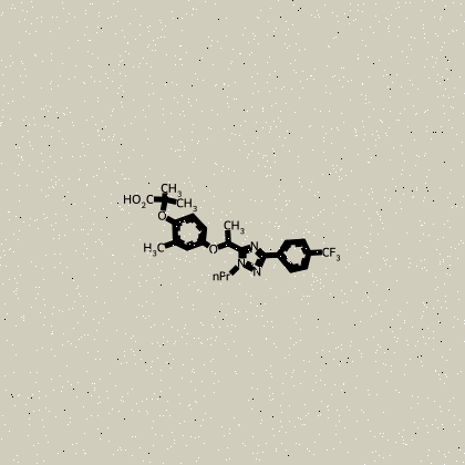 CCCn1nc(-c2ccc(C(F)(F)F)cc2)nc1C(C)Oc1ccc(OC(C)(C)C(=O)O)c(C)c1